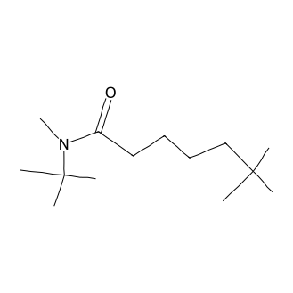 CN(C(=O)CCCCC(C)(C)C)C(C)(C)C